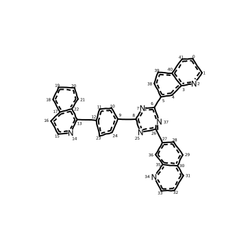 c1cnc2cc(-c3nc(-c4ccc(-c5nccc6ccccc56)cc4)nc(-c4ccc5cccnc5c4)n3)ccc2c1